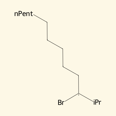 CCCCCCCCCC[C](Br)C(C)C